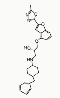 Cc1nnc(-c2cc3c(OC[C@@H](O)CNC4CCC(Cc5ccccc5)CC4)cccc3o2)o1